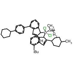 CCC(C)c1cccc2c1C=C(C1CCC(C)CC1)[CH]2[Zr]([Cl])([Cl])([CH]1C(C)=Cc2c(-c3ccc(C4CCCCC4)cc3)cccc21)[SiH](C)C